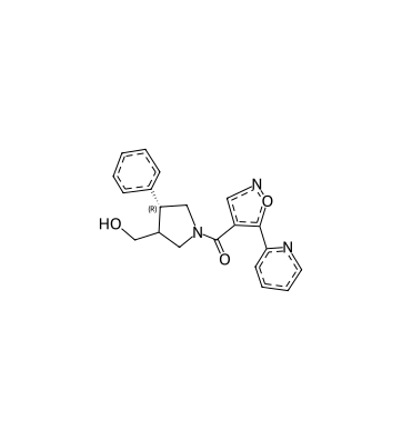 O=C(c1cnoc1-c1ccccn1)N1CC(CO)[C@H](c2ccccc2)C1